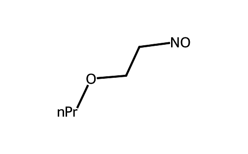 CCCOCCN=O